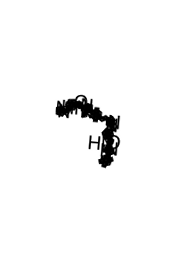 CCn1c(-c2cc(C)c(CCc3cnn(Cc4cccc(C(=O)Nc5ncc(-c6cc(C)c(C)cc6C)n5C)c4)c3)cc2C)cnc1NC(=O)c1cccc(Cn2cccn2)c1